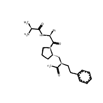 CC(C)[C@H](NC(=O)[C@H](C)N)C(=O)N1CCC[C@H]1CN(CCc1ccccc1)C(=O)C(F)(F)F